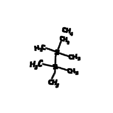 C.C[Si](C)(C)[Si](C)(C)C